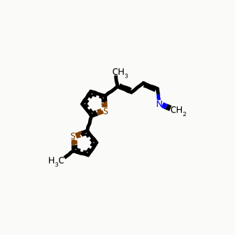 C=N/C=C\C=C(/C)c1ccc(-c2ccc(C)s2)s1